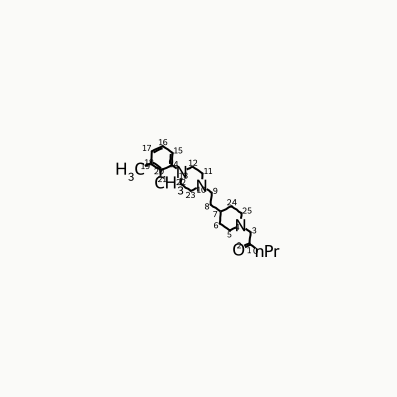 CCCC(=O)CN1CCC(CCN2CCN(c3cccc(C)c3C)CC2)CC1